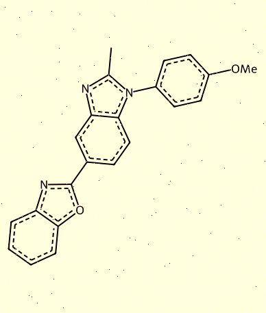 COc1ccc(-n2c(C)nc3cc(-c4nc5ccccc5o4)ccc32)cc1